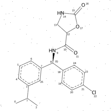 CC(C)c1cccc([C@@H](NC(=O)C2CNC(=O)O2)c2ccc(Cl)cc2)c1